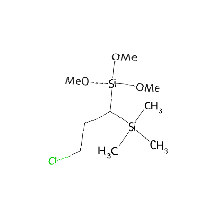 CO[Si](OC)(OC)C(CCCl)[Si](C)(C)C